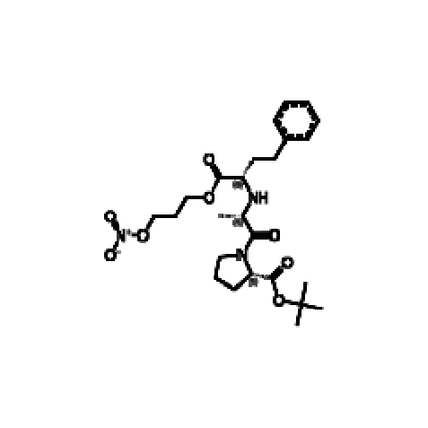 C[C@H](N[C@@H](CCc1ccccc1)C(=O)OCCCO[N+](=O)[O-])C(=O)N1CCC[C@H]1C(=O)OC(C)(C)C